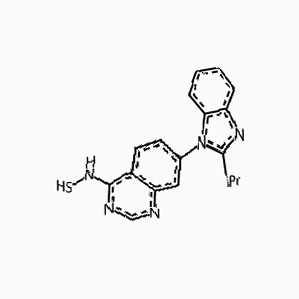 CC(C)c1nc2ccccc2n1-c1ccc2c(NS)ncnc2c1